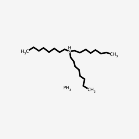 CCCCCCCC[SH](CCCCCCCC)CCCCCCCC.P